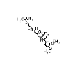 COc1ccc(-c2nc(CC(=O)CC(=O)NCCCOC(C)C)c(C)o2)cc1OC